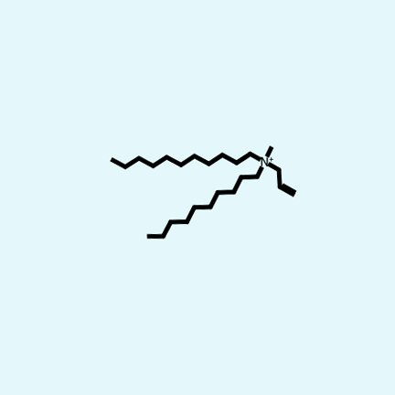 C=CC[N+](C)(CCCCCCCCCC)CCCCCCCCCCC